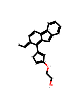 CC=c1ccc2c(c1C1=CC(OCCO)=CC1)[C]=c1ccccc1=2